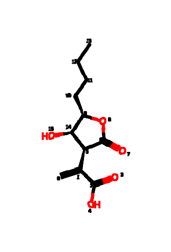 C=C(C(=O)O)[C@@H]1C(=O)O[C@H](CCCC)[C@@H]1O